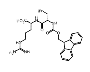 CC(C)C[C@H](NC(=O)OCC1c2ccccc2-c2ccccc21)C(=O)N[C@@H](CCCNC(=N)N)C(=O)O